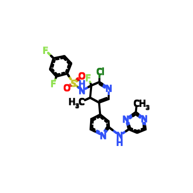 Cc1nccc(Nc2cc(C3=CN=C(Cl)C(F)(NS(=O)(=O)c4ccc(F)cc4F)C3C)ccn2)n1